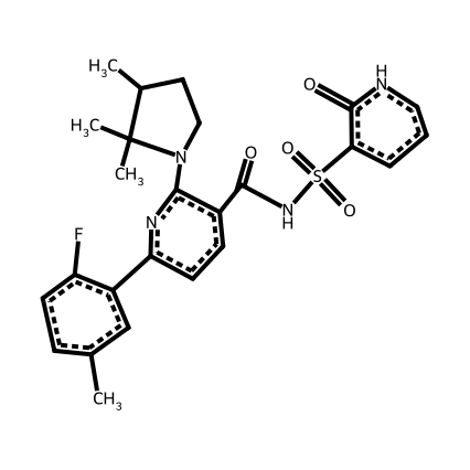 Cc1ccc(F)c(-c2ccc(C(=O)NS(=O)(=O)c3ccc[nH]c3=O)c(N3CCC(C)C3(C)C)n2)c1